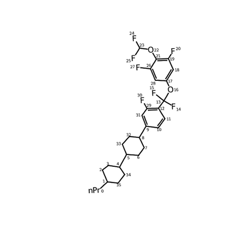 CCCC1CCC(C2CCC(c3ccc(C(F)(F)Oc4cc(F)c(OC(F)F)c(F)c4)c(F)c3)CC2)CC1